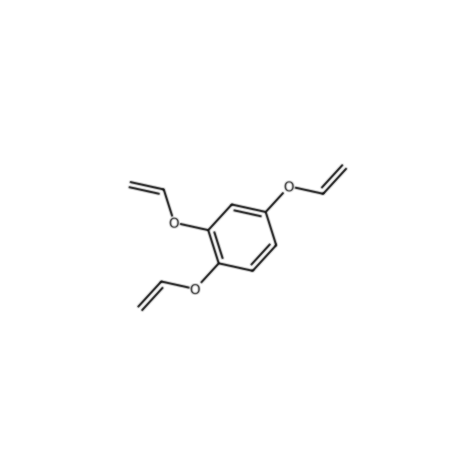 C=COc1ccc(OC=C)c(OC=C)c1